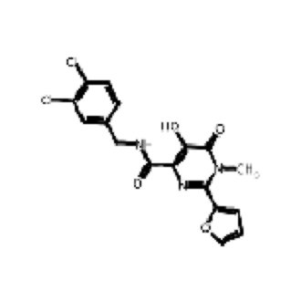 Cn1c(-c2ccco2)nc(C(=O)NCc2ccc(Cl)c(Cl)c2)c(O)c1=O